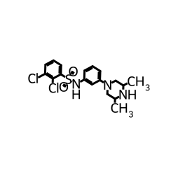 CC1CN(c2cccc(NS(=O)(=O)c3cccc(Cl)c3Cl)c2)CC(C)N1